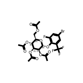 CC(=O)OC[C@H]1O[C@H](Oc2c(F)cc(Br)cc2C(F)(F)F)[C@@H](OC(C)=O)[C@@H](OC(C)=O)[C@@H]1OC(C)=O